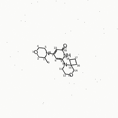 CC1COCCN1c1cc(N2CCOCC23CCC3)[nH]c(=O)c1